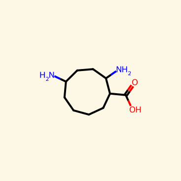 NC1CCCCC(C(=O)O)C(N)CC1